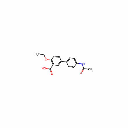 CCOc1ccc(-c2ccc(NC(C)=O)cc2)cc1C(=O)O